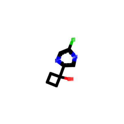 OC1(c2cnc(Cl)cn2)CCC1